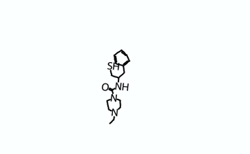 CCN1CCN(C(=O)NC(CS)Cc2ccccc2)CC1